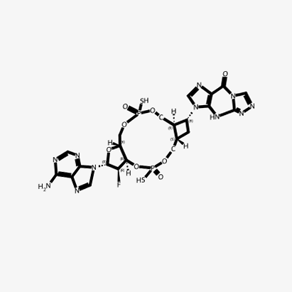 Nc1ncnc2c1ncn2[C@@H]1O[C@@H]2COP(=O)(S)OC[C@@H]3[C@@H](COP(=O)(S)O[C@H]2[C@H]1F)C[C@H]3n1cnc2c(=O)n3cnnc3[nH]c21